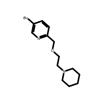 CCC(C)c1ccc(COCCN2CCCCC2)nc1